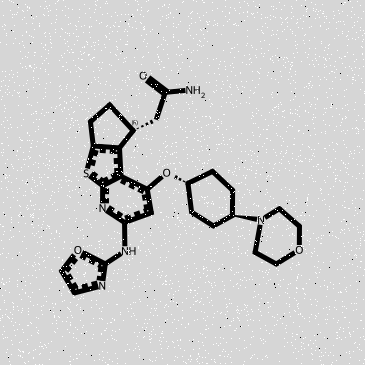 NC(=O)C[C@H]1CCc2sc3nc(Nc4ncco4)cc(O[C@H]4CC[C@H](N5CCOCC5)CC4)c3c21